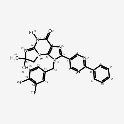 CCN1C(=O)c2nc(-c3cnc(-c4ccccc4)nc3)n(Cc3ccc(F)c(F)c3)c2N2CC(C)(C)N=C12